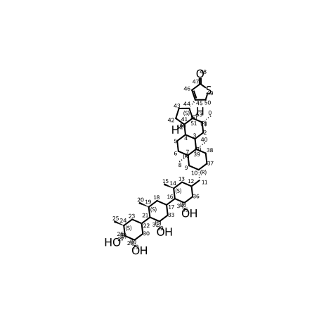 C[C@@H]1CC2C(CC[C@]3(C)C[C@@H](CC4C[C@H](C)C(C5C[C@H](C)C(C6C[C@H](C)[C@@H](O)[C@@H](O)C6)[C@@H](O)C5)[C@@H](O)C4)CC[C@]23C)[C@H]2CC[C@H](C3=CC(=O)SC3)[C@@H]12